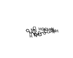 OP(O)C(COCc1nn[nH]n1)OCC1CCC(n2ncc3c(NC4CCCC4)nc(Cl)nc32)O1